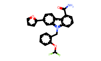 NC(=O)c1cccc2c1c1[c]cc(-c3ccco3)cc1n2Cc1ccccc1OC(F)F